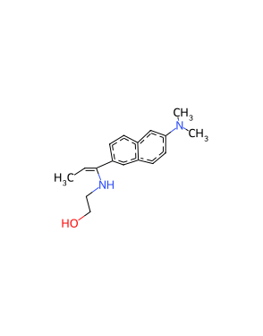 CC=C(NCCO)c1ccc2cc(N(C)C)ccc2c1